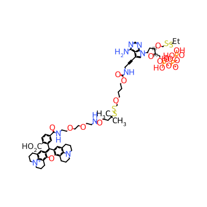 CCSSCO[C@H]1CC(n2cc(C#CCNC(=O)OCCCCOCSSC(C)(C)CCONCCOCCOCCNC(=O)c3ccc(C(=O)O)c(C4=c5cc6c7c(c5Oc5c4cc4c8c5CCCN8CCC4)CCC[N+]=7CCC6)c3)c3c(N)ncnc32)O[C@@H]1COP(=O)(O)OP(=O)(O)OP(=O)(O)O